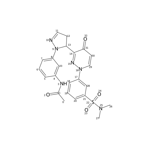 CC(=O)Nc1cccc(N2N=CCC2c2nn(-c3cccc(S(=O)(=O)N(C)C)c3)ccc2=O)c1